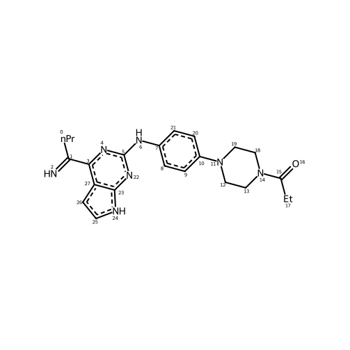 CCCC(=N)c1nc(Nc2ccc(N3CCN(C(=O)CC)CC3)cc2)nc2[nH]ccc12